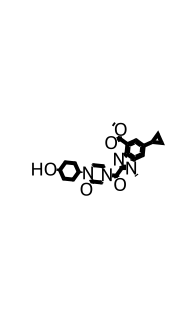 COC(=O)c1cc(C2CC2)cc2c1nc(C(=O)N1CCN([C@H]3CC[C@H](O)CC3)C(=O)C1)n2C